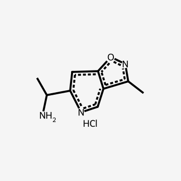 Cc1noc2cc(C(C)N)ncc12.Cl